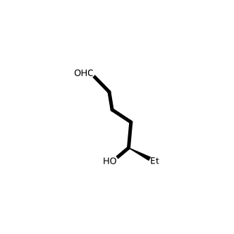 CC[C@@H](O)CCCC=O